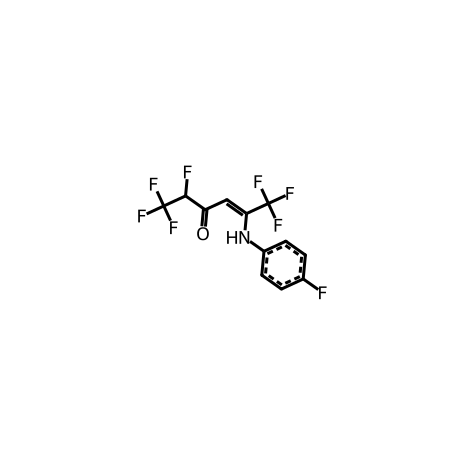 O=C(/C=C(\Nc1ccc(F)cc1)C(F)(F)F)C(F)C(F)(F)F